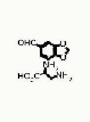 NC[C@H](N)C(=O)O.O=Cc1ccc2c(c1)OCO2